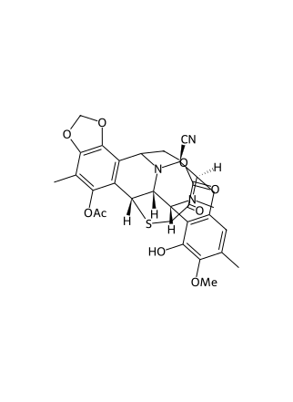 COc1c(C)cc2c(c1O)[C@@H]1[C@@H]3[C@@H]4SCC(=O)C(=O)OCC(c5c6c(c(C)c(OC(C)=O)c54)OCO6)N3[C@@H](C#N)[C@@H](C2)N1C